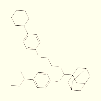 CCC(C)c1ccc(OC(OCCOc2ccc(C3CCCCC3)cc2)C23CC4CC(CC(C4)C2)C3)cc1